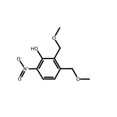 COCc1ccc([N+](=O)[O-])c(O)c1COC